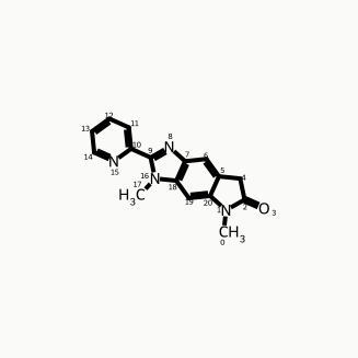 CN1C(=O)Cc2cc3nc(-c4ccccn4)n(C)c3cc21